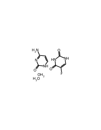 Nc1cc[nH]c(=O)n1.O.O.O=c1[nH]cc(F)c(=O)[nH]1